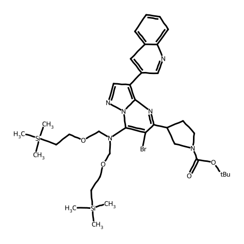 CC(C)(C)OC(=O)N1CCC(c2nc3c(-c4cnc5ccccc5c4)cnn3c(N(COCC[Si](C)(C)C)COCC[Si](C)(C)C)c2Br)C1